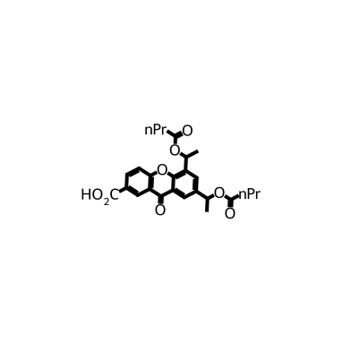 CCCC(=O)OC(C)c1cc(C(C)OC(=O)CCC)c2oc3ccc(C(=O)O)cc3c(=O)c2c1